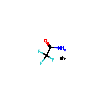 NC(=O)C(F)(F)F.[Rh]